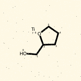 OCC1CCCO1.[Ti]